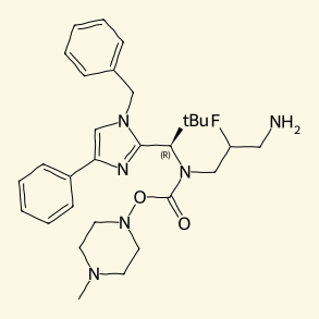 CN1CCN(OC(=O)N(CC(F)CN)[C@@H](c2nc(-c3ccccc3)cn2Cc2ccccc2)C(C)(C)C)CC1